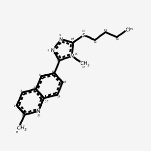 Cc1ccc2cc(-c3nnc(SCCCCl)n3C)ccc2n1